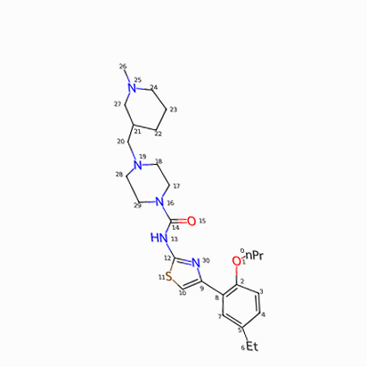 CCCOc1ccc(CC)cc1-c1csc(NC(=O)N2CCN(CC3CCCN(C)C3)CC2)n1